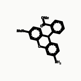 CNc1ccc2c(c1)Oc1cc(N)ccc1C2c1ccccc1C(=O)OC